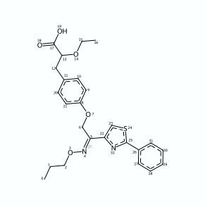 CCCO/N=C(\COc1ccc(CC(OCC)C(=O)O)cc1)c1csc(-c2ccccc2)n1